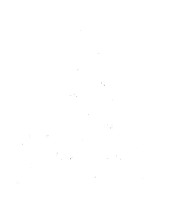 CCO[C@H](C)c1ccc([C@@H](CC)CC(=O)O)cc1Nc1cnc(COC)nc1